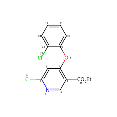 CCOC(=O)c1cnc(Cl)cc1Oc1ccccc1Cl